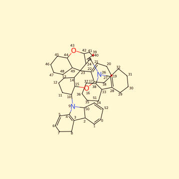 C1=CC2C3=C(C=CCC3)N(C3CCCC4C3OC3CCCC=C3C43C4=C(N5C6=C(CCCC6)C6CCCCC65)CCCC4OC4CCCCC43)C2C=C1